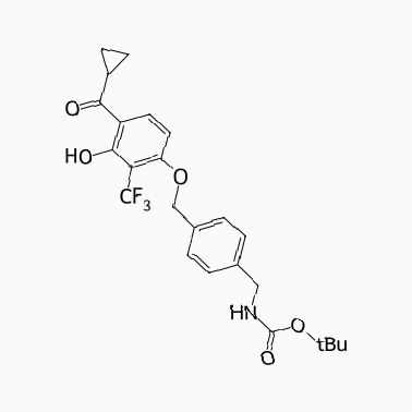 CC(C)(C)OC(=O)NCc1ccc(COc2ccc(C(=O)C3CC3)c(O)c2C(F)(F)F)cc1